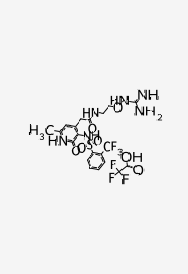 Cc1cc(CC(=O)NCCONC(=N)N)c(NS(=O)(=O)c2ccccc2C(F)(F)F)c(=O)[nH]1.O=C(O)C(F)(F)F